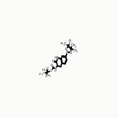 CC(C)(C)OC(=O)NC1Cc2ccc(B3OC(C)(C)C(C)(C)O3)cc2NC1=O